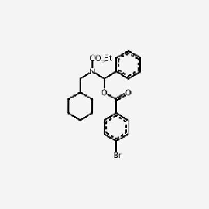 CCOC(=O)N(CC1CCCCC1)C(OC(=O)c1ccc(Br)cc1)c1ccccc1